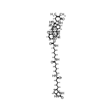 CC1=C(C)C(=O)O[C@@H](C(C)(O)[C@]2(O)CC[C@@]3(O)[C@@H]4C[C@H]5O[C@]56[C@@H](OC(=O)NCCCCCNC(=O)CCCCCNC(=O)CCCCC5SCC7NC(=O)NC75)C=CC(=O)[C@]6(C)[C@H]4CC[C@@]32C)C1